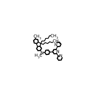 CCCCCCC1(CCCCCC)c2cc(C)ccc2-c2ccc(N(C)c3ccc(-c4cc(-c5ccccn5)nc(-c5ccccn5)c4)cc3)cc21